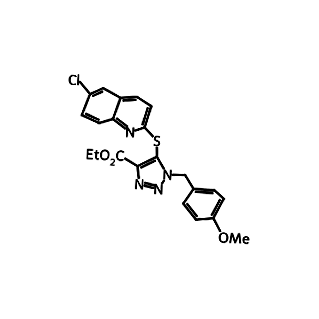 CCOC(=O)c1nnn(Cc2ccc(OC)cc2)c1Sc1ccc2cc(Cl)ccc2n1